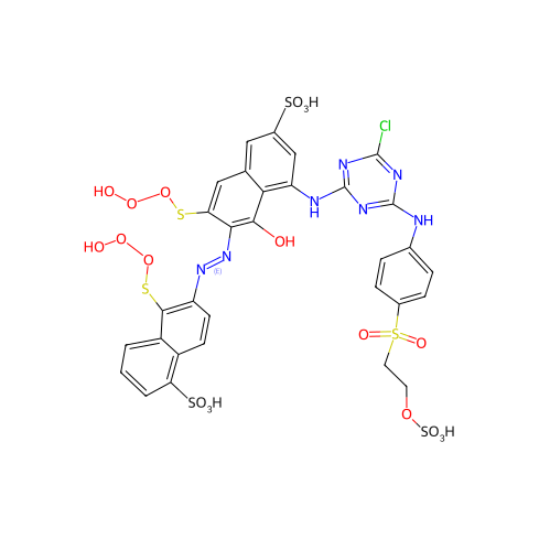 O=S(=O)(O)OCCS(=O)(=O)c1ccc(Nc2nc(Cl)nc(Nc3cc(S(=O)(=O)O)cc4cc(SOOO)c(/N=N/c5ccc6c(S(=O)(=O)O)cccc6c5SOOO)c(O)c34)n2)cc1